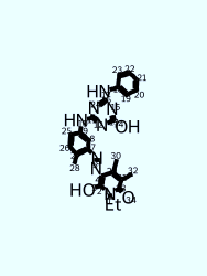 CCn1c(O)c(N=Nc2cc(Nc3nc(O)nc(Nc4ccccc4)n3)ccc2C)c(C)c(C)c1=O